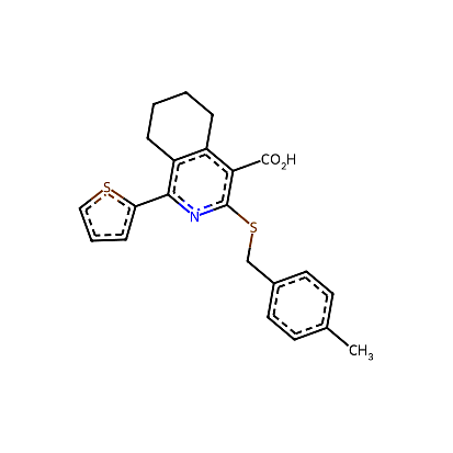 Cc1ccc(CSc2nc(-c3cccs3)c3c(c2C(=O)O)CCCC3)cc1